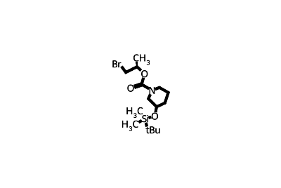 C[C@H](CBr)OC(=O)N1CCCC(O[Si](C)(C)C(C)(C)C)C1